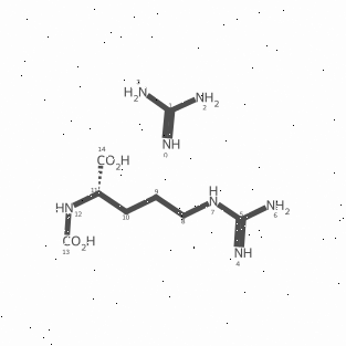 N=C(N)N.N=C(N)NCCC[C@H](NC(=O)O)C(=O)O